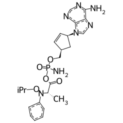 CC(C)ON(c1ccccc1)[C@@H](C)C(=O)OP(N)(=O)OC[C@H]1C=C[C@@H](n2cnc3c(N)ncnc32)C1